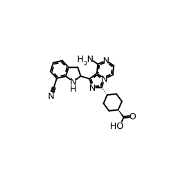 N#Cc1cccc2c1NC(c1nc([C@H]3CC[C@H](C(=O)O)CC3)n3ccnc(N)c13)C2